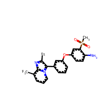 CCc1nc2c(C(F)(F)F)cccn2c1-c1cccc(Oc2ccc(N)c(S(C)(=O)=O)c2)c1